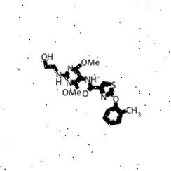 COc1nc(NCCO)nc(OC)c1NC(=O)c1csc(Oc2ccccc2C)n1